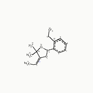 C/C=C1/OB(c2ccccc2CC(F)(F)F)OC1(C)C